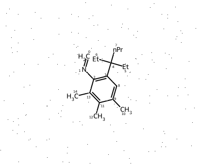 C=Nc1c(C(CC)(CC)CCC)cc(C)c(C)c1C